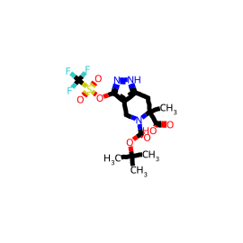 CC(C)(C)OC(=O)N1Cc2c(OS(=O)(=O)C(F)(F)F)n[nH]c2CC1(C)C(=O)O